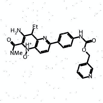 CCC1C(N)=C(C(=O)NC)[NH+]([O-])c2ccc(-c3ccc(NC(=O)OCc4cccnc4)cc3)nc21